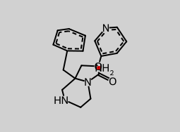 NC(=O)N1CCNCC1(COc1cccnc1)Cc1ccccc1